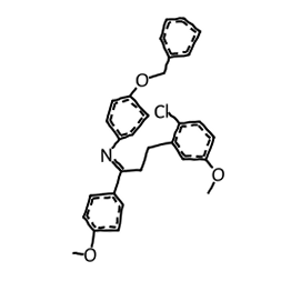 COc1ccc(C(CCc2cc(OC)ccc2Cl)=Nc2ccc(OCc3ccccc3)cc2)cc1